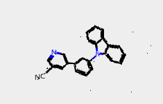 N#Cc1cncc(-c2cccc(-n3c4ccccc4c4ccccc43)c2)c1